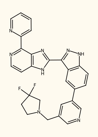 FC1(F)CCN(Cc2cncc(-c3ccc4[nH]nc(-c5nc6c(-c7ccccn7)nccc6[nH]5)c4c3)c2)C1